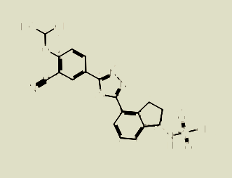 CC(C)Oc1ccc(-c2nnc(-c3cccc4c3CC[C@@H]4NS(C)(=O)=O)s2)cc1C#N